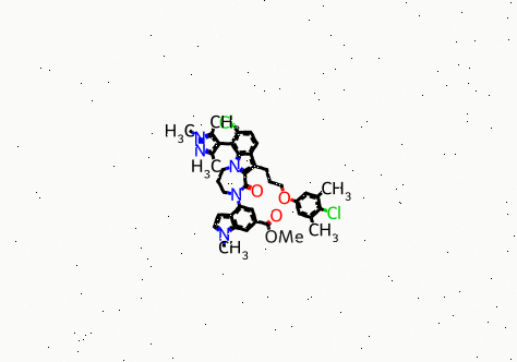 COC(=O)c1cc(N2CCCn3c(c(CCCOc4cc(C)c(Cl)c(C)c4)c4ccc(Cl)c(-c5c(C)nn(C)c5C)c43)C2=O)c2ccn(C)c2c1